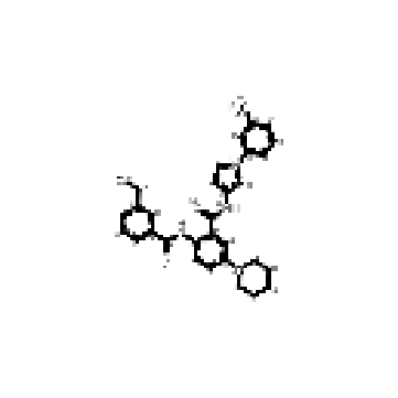 O=C(Nc1ccc(N2CCCCC2)cc1C(=O)Nc1ccn(-c2cccc(C(F)(F)F)c2)n1)c1cccc(CCl)c1